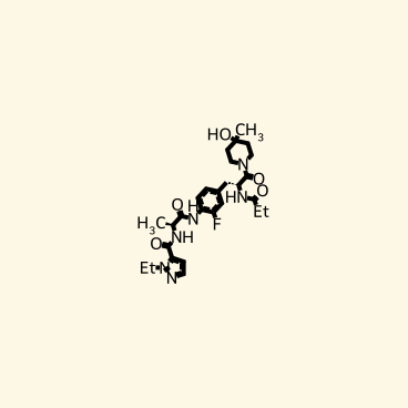 CCC(=O)N[C@H](Cc1ccc(NC(=O)[C@H](C)NC(=O)c2ccnn2CC)c(F)c1)C(=O)N1CCC(C)(O)CC1